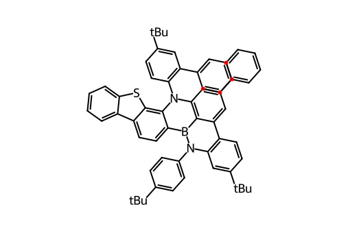 CC(C)(C)c1ccc(N2B3c4ccc5c(sc6ccccc65)c4N(c4ccc(C(C)(C)C)cc4-c4ccccc4)c4cc(-c5ccccc5)cc(c43)-c3ccc(C(C)(C)C)cc32)cc1